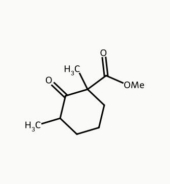 COC(=O)C1(C)CCCC(C)C1=O